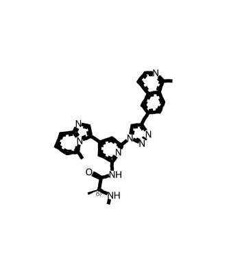 CN[C@@H](C)C(=O)Nc1cc(-c2cnc3cccc(C)n23)cc(-n2cc(-c3ccc4c(C)nccc4c3)nn2)n1